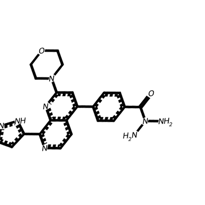 NN(N)C(=O)c1ccc(-c2cc(N3CCOCC3)nc3c(-c4ccn[nH]4)nccc23)cc1